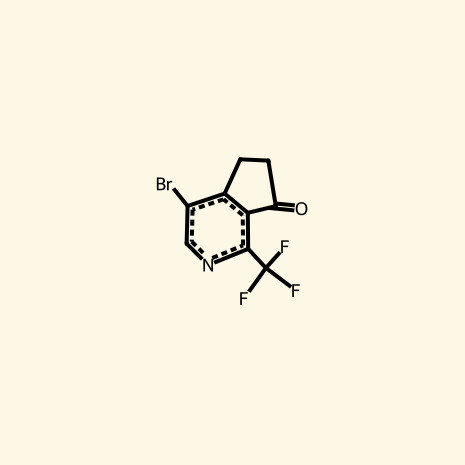 O=C1CCc2c(Br)cnc(C(F)(F)F)c21